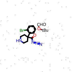 CC(C)(C)OC=O.[N-]=[N+]=NC(=O)C1(c2ccccc2Br)CCNCC1